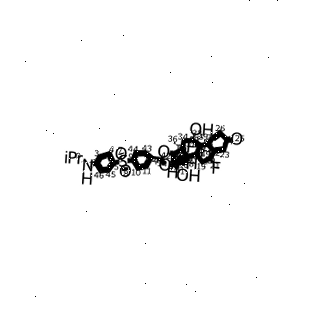 CC(C)Nc1ccc(S(=O)(=O)c2ccc([C@@H]3O[C@@H]4C[C@H]5[C@@H]6C[C@H](F)C7=CC(=O)C=C[C@]7(C)[C@@]6(F)[C@@H](O)C[C@]5(C)[C@]4(C(=O)CO)O3)cc2)cc1